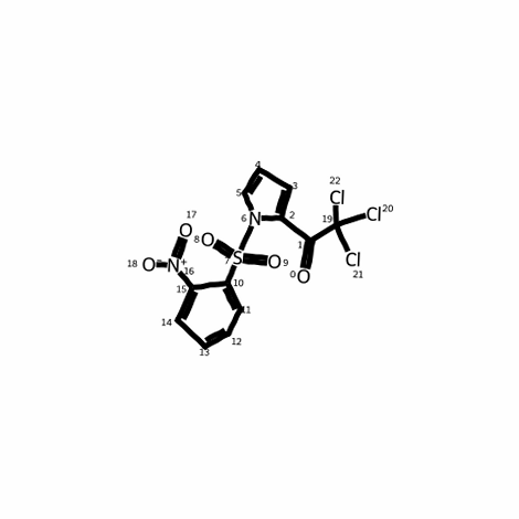 O=C(c1cccn1S(=O)(=O)c1ccccc1[N+](=O)[O-])C(Cl)(Cl)Cl